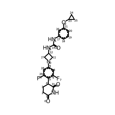 O=C1CCC(c2c(F)cc(N3CC(NC(=O)Nc4cccc(OC5CC5)c4)C3)cc2F)C(=O)N1